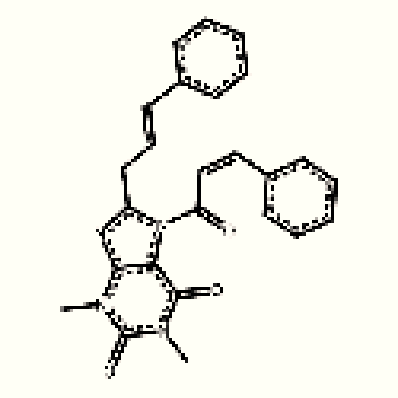 Cn1c(=O)c2c(nc(CC=Cc3ccccc3)n2C(=O)C=Cc2ccccc2)n(C)c1=O